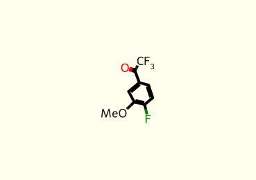 COc1cc(C(=O)C(F)(F)F)ccc1F